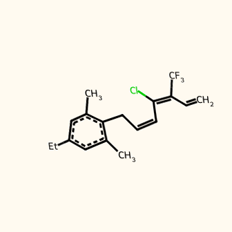 C=C/C(=C(Cl)\C=C/Cc1c(C)cc(CC)cc1C)C(F)(F)F